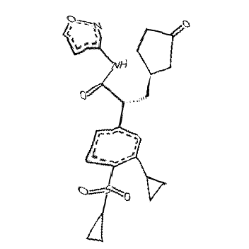 O=C1CC[C@H](C[C@@H](C(=O)Nc2ccon2)c2ccc(S(=O)(=O)C3CC3)c(C3CC3)c2)C1